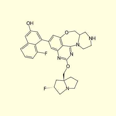 Oc1cc(-c2cc3c4c(nc(OC[C@@]56CCCN5C[C@H](F)C6)nc4c2)N2CCNCC2CO3)c2c(F)cccc2c1